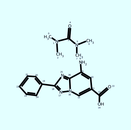 CN(C)C(=O)N(C)C.Nc1cc(C(=O)O)cn2nc(-c3ccccc3)nc12